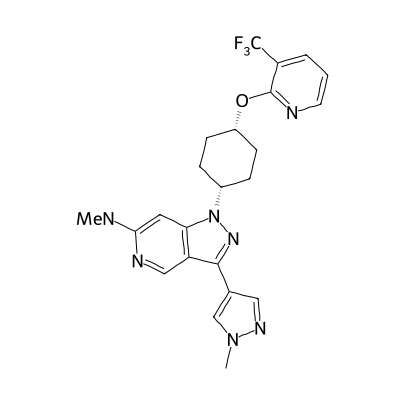 CNc1cc2c(cn1)c(-c1cnn(C)c1)nn2[C@H]1CC[C@@H](Oc2ncccc2C(F)(F)F)CC1